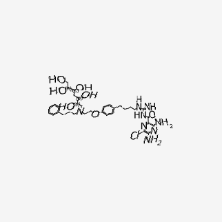 N=C(NCCCCc1ccc(OCCN(CCCc2ccccc2)C[C@H](O)[C@@H](O)C[C@H](O)[C@H](O)CO)cc1)NC(=O)c1nc(Cl)c(N)nc1N